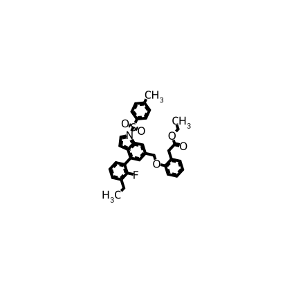 CCOC(=O)Cc1ccccc1OCc1cc(-c2cccc(CC)c2F)c2ccn(S(=O)(=O)c3ccc(C)cc3)c2c1